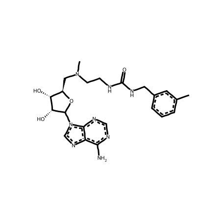 Cc1cccc(CNC(=O)NCCN(C)C[C@H]2OC(n3cnc4c(N)ncnc43)[C@H](O)[C@@H]2O)c1